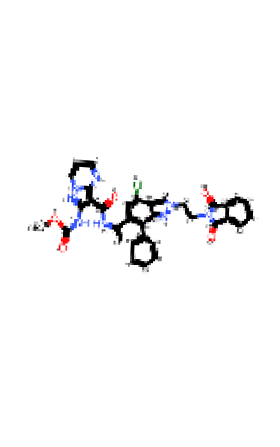 CCCCOC(=O)Nc1nn2cccnc2c1C(=O)NC(C)c1cc(Cl)c2cn(CCN3C(=O)c4ccccc4C3=O)nc2c1-c1ccccc1